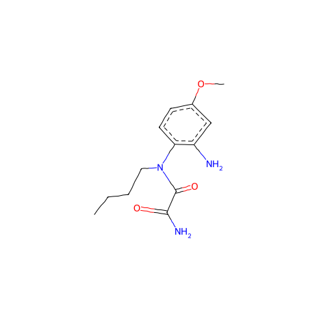 CCCCN(C(=O)C(N)=O)c1ccc(OC)cc1N